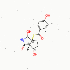 O=C(S[C@@]12CC[C@H](O)[C@@H]1C(=O)NC2O)c1ccc(O)cc1